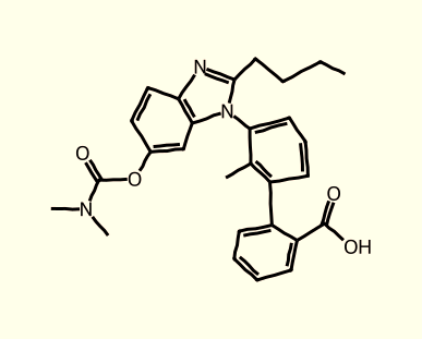 CCCCc1nc2ccc(OC(=O)N(C)C)cc2n1-c1cccc(-c2ccccc2C(=O)O)c1C